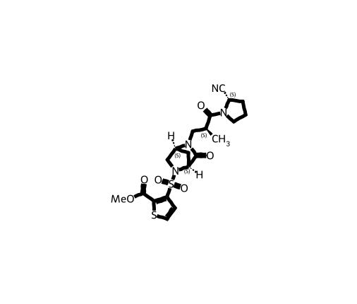 COC(=O)c1sccc1S(=O)(=O)N1C[C@@H]2C[C@H]1C(=O)N2C[C@H](C)C(=O)N1CCC[C@H]1C#N